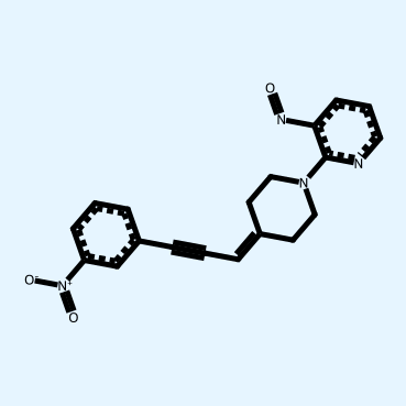 O=Nc1cccnc1N1CCC(=CC#Cc2cccc([N+](=O)[O-])c2)CC1